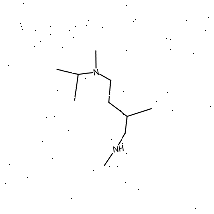 CNCC(C)CCN(C)C(C)C